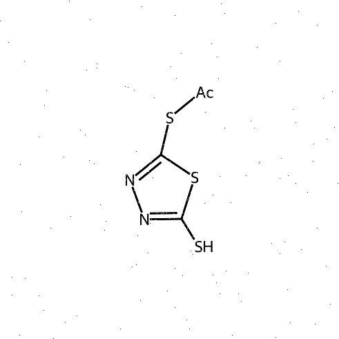 CC(=O)Sc1nnc(S)s1